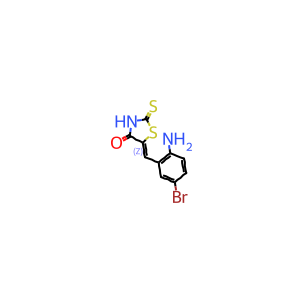 Nc1ccc(Br)cc1/C=C1\SC(=S)NC1=O